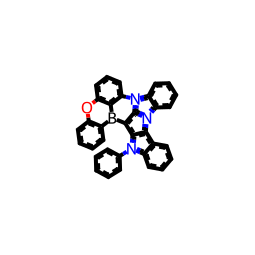 c1ccc(-n2c3ccccc3c3c2c2c4n(c5ccccc5n34)-c3cccc4c3B2c2ccccc2O4)cc1